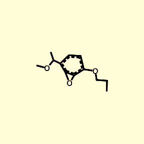 CCCOc1ccc(C(C)OC)c2c1O2